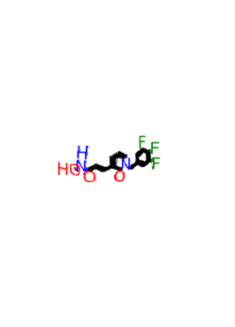 O=C(/C=C/c1cccn(Cc2cc(F)c(F)c(F)c2)c1=O)NO